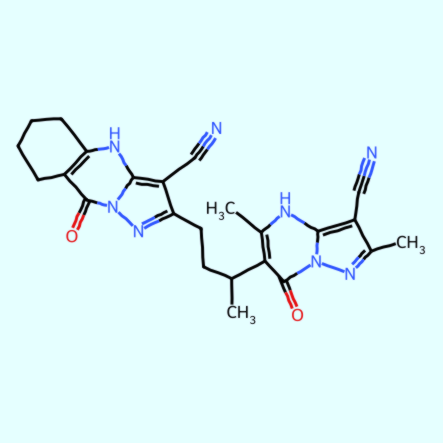 Cc1nn2c(=O)c(C(C)CCc3nn4c(=O)c5c([nH]c4c3C#N)CCCC5)c(C)[nH]c2c1C#N